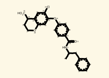 CC(Cc1ccccc1)NC(=O)c1ccc(Oc2cc3c(cc2Cl)C(C(=O)O)CCO3)cc1